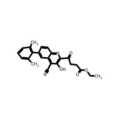 CCOC(=O)CCC(=O)c1nc2ccc(-c3c(C)cccc3C)cc2c(C#N)c1O